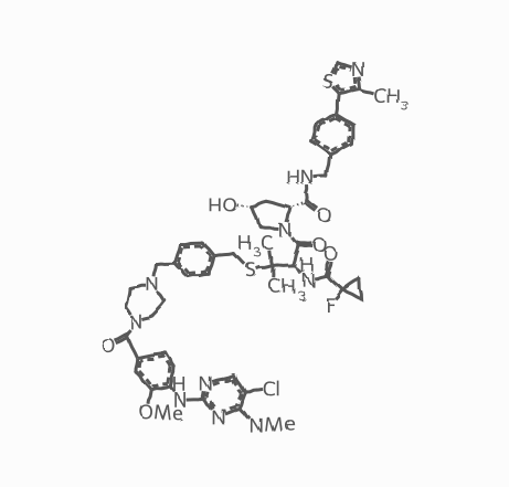 CNc1nc(Nc2ccc(C(=O)N3CCN(Cc4ccc(CSC(C)(C)[C@H](NC(=O)C5(F)CC5)C(=O)N5C[C@H](O)C[C@@H]5C(=O)NCc5ccc(-c6scnc6C)cc5)cc4)CC3)cc2OC)ncc1Cl